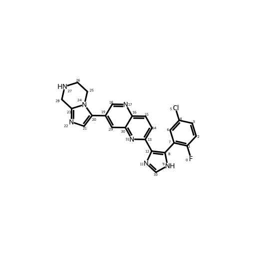 Fc1ccc(Cl)cc1-c1[nH]cnc1-c1ccc2ncc(-c3cnc4n3CCNC4)cc2n1